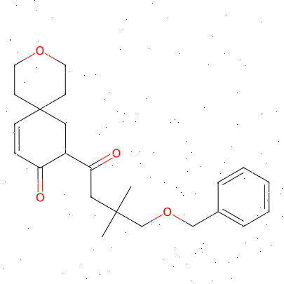 CC(C)(COCc1ccccc1)CC(=O)C1CC2(C=CC1=O)CCOCC2